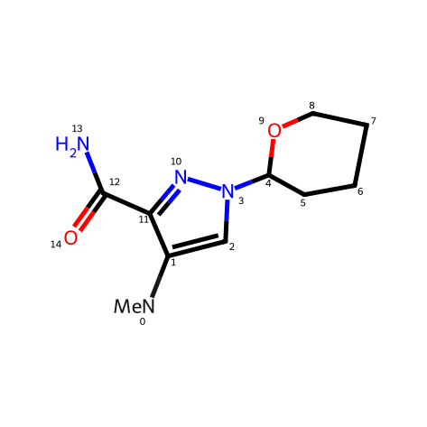 CNc1cn(C2CCCCO2)nc1C(N)=O